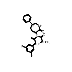 C[C@H](N)C(=O)N(C(=O)Cc1cc(F)cc(F)c1)[C@H]1CC[C@@H](c2ccccc2)CNC1=O